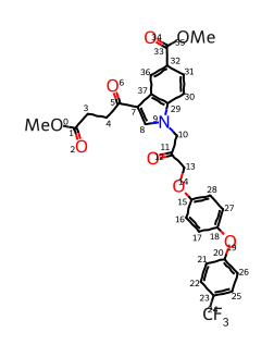 COC(=O)CCC(=O)c1cn(CC(=O)COc2ccc(Oc3ccc(C(F)(F)F)cc3)cc2)c2ccc(C(=O)OC)cc12